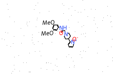 COc1cc(NC(=O)CN2CCC(c3cccc[n+]3[O-])CC2)cc(OC)c1